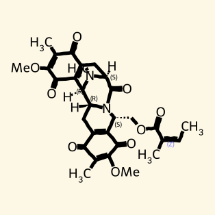 C/C=C(/C)C(=O)OC[C@@H]1C2=C(C[C@@H]3[C@H]4C5=C(C[C@@H](C(=O)N13)N4C)C(=O)C(C)=C(OC)C5=O)C(=O)C(C)=C(OC)C2=O